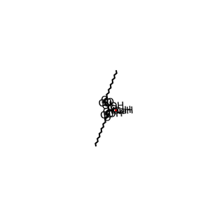 CCCCCCCCCCCCOS(=O)(=O)OC(C(=O)O)C(OS(=O)(=O)OCCCCCCCCCCCC)C(=O)O.[NaH].[NaH]